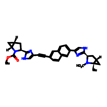 CC(C)(C)OC(=O)N1[C@@H]2C[C@@H]2C[C@H]1c1nc(C#Cc2ccc3cc(-c4c[nH]c([C@@H]5C[C@@H]6C[C@@]6(C(C)(C)C)N5C(=O)O)n4)ccc3c2)c[nH]1